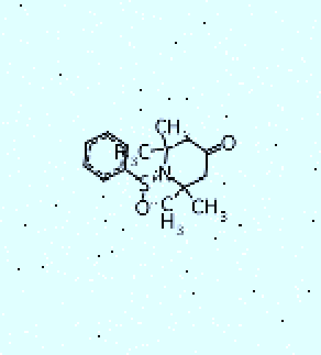 CC1(C)CC(=O)CC(C)(C)N1[S+]([O-])c1ccccc1